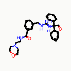 N=C(NCc1cccc(C(=O)NCCN2CCOCC2)c1)NC(C=O)(c1ccccc1)c1ccccc1